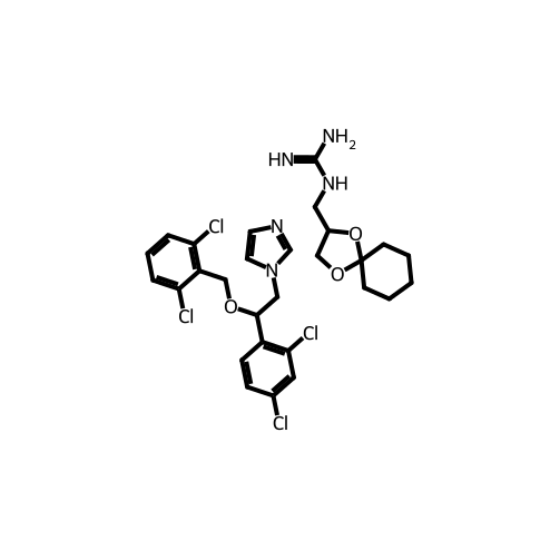 Clc1ccc(C(Cn2ccnc2)OCc2c(Cl)cccc2Cl)c(Cl)c1.N=C(N)NCC1COC2(CCCCC2)O1